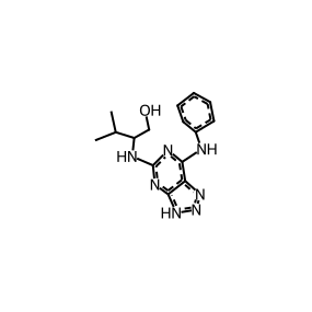 CC(C)C(CO)Nc1nc(Nc2ccccc2)c2nn[nH]c2n1